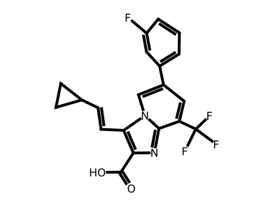 O=C(O)c1nc2c(C(F)(F)F)cc(-c3cccc(F)c3)cn2c1C=CC1CC1